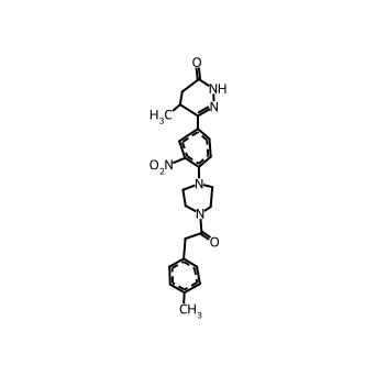 Cc1ccc(CC(=O)N2CCN(c3ccc(C4=NNC(=O)CC4C)cc3[N+](=O)[O-])CC2)cc1